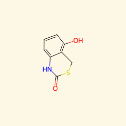 O=C1Nc2cccc(O)c2CS1